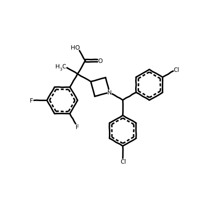 CC(C(=O)O)(c1cc(F)cc(F)c1)C1CN(C(c2ccc(Cl)cc2)c2ccc(Cl)cc2)C1